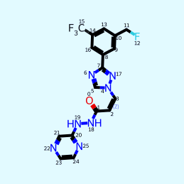 O=C(/C=C\n1cnc(-c2cc(CF)cc(C(F)(F)F)c2)n1)NNc1cnccn1